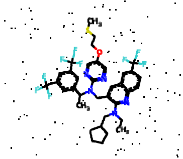 CCN(CC1CCCC1)c1nc2ccc(C(F)(F)F)cc2cc1CN(c1ncc(OCCSC)cn1)C(C)c1cc(C(F)(F)F)cc(C(F)(F)F)c1